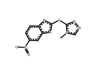 Cn1cnnc1Sc1nc2ccc([N+](=O)[O-])cc2s1